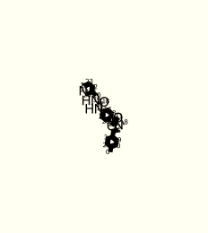 Cc1ccc(CCN(C)S(=O)(=O)c2ccc(NC(=O)NCc3cccnc3)cc2)cc1